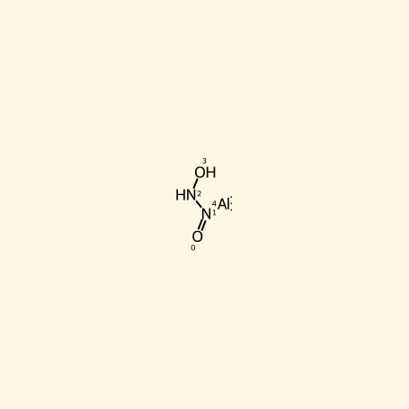 O=NNO.[Al]